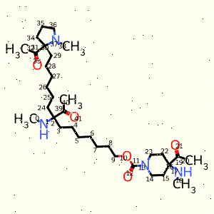 CNC(CCCCCCCOC(=O)N1CCC(NC)(C(C)=O)CC1)(CCCCCC[C@@]1(C(C)=O)CCCN1C)C(C)=O